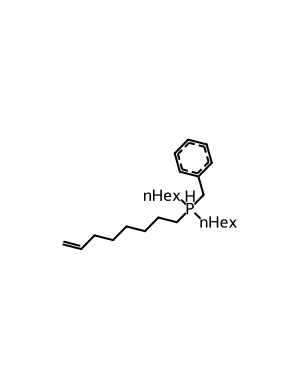 C=CCCCCCC[PH](CCCCCC)(CCCCCC)Cc1ccccc1